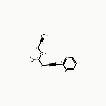 C#CCO[C@@H](C)CC#Cc1ccccc1